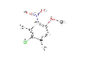 COc1cc(C)c(Cl)c(C)c1[N+](=O)[O-]